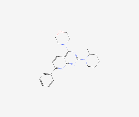 CC1CCCCN1c1nc(N2CCOCC2)c2ccc(-c3ccccc3)nc2n1